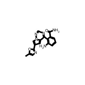 Cc1cnc(-c2cc3c(-c4c(N)cccc4C(N)=O)ncnn3c2)o1